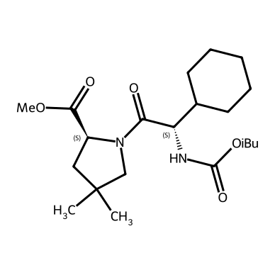 COC(=O)[C@@H]1CC(C)(C)CN1C(=O)[C@@H](NC(=O)OCC(C)C)C1CCCCC1